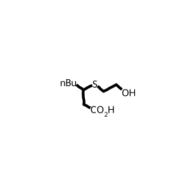 CCCCC(CC(=O)O)SCCO